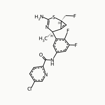 C[C@]1(c2cc(NC(=O)c3ccc(Cl)cn3)cc(F)c2F)N=C(N)S[C@@]2(CF)C=C21